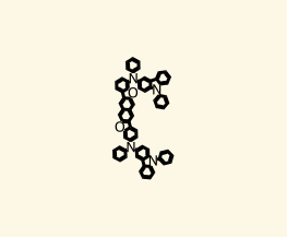 c1ccc(N(c2ccc3c(c2)oc2cc4cc5c(cc4cc23)oc2c(N(c3ccccc3)c3ccc4c(c3)c3ccccc3n4-c3ccccc3)cccc25)c2ccc3c(c2)c2ccccc2n3-c2ccccc2)cc1